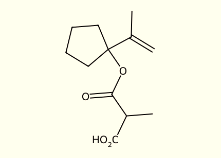 C=C(C)C1(OC(=O)C(C)C(=O)O)CCCC1